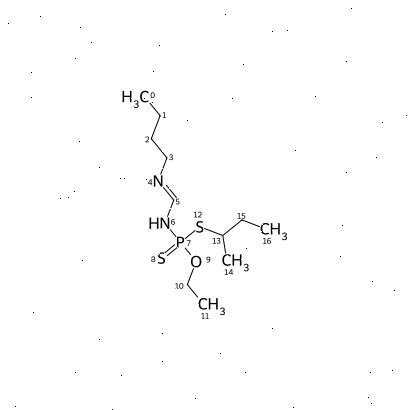 CCCCN=CNP(=S)(OCC)SC(C)CC